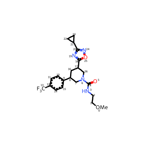 COCCNC(=O)N1CC(c2ccc(C(F)(F)F)cc2)CC(c2nc(C3CC3)no2)C1